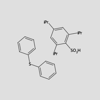 CC(C)c1cc(C(C)C)c(S(=O)(=O)O)c(C(C)C)c1.c1ccc(Sc2ccccc2)cc1